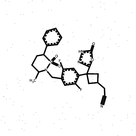 CC1CCC(c2ccccc2)S(=O)(=O)N1Cc1cc(F)c(C2(c3n[nH]c(=O)o3)CC(CC#N)C2)cc1F